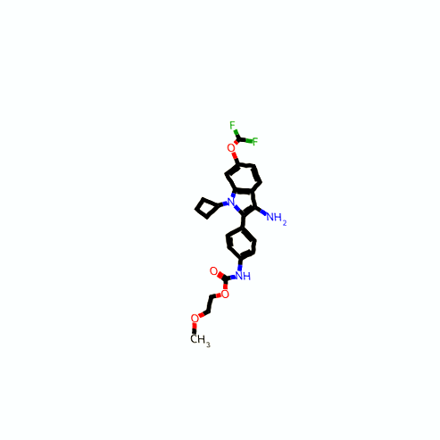 COCCOC(=O)Nc1ccc(-c2c(N)c3ccc(OC(F)F)cc3n2C2CCC2)cc1